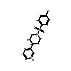 Cc1ccc(S(=O)(=O)N2CCC(c3cccnc3)CC2)cc1